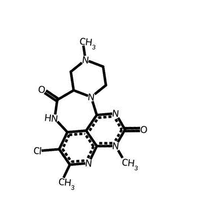 Cc1nc2c3c(nc(=O)n2C)N2CCN(C)CC2C(=O)Nc3c1Cl